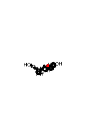 CC1=C2C[C@H]3[C@@H](CC=C4C[C@@H](O)CCC43C)[C@@H]2CC[C@@]2(C1)O[C@@H]1C[C@H](C)CN(CCOCCO)[C@H]1[C@H]2C